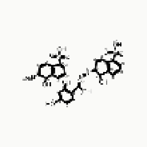 O=C(O)c1ccc(O)cc1O.[N-]=[N+]=C1C=Cc2c(cccc2S(=O)(=O)O)C1O.[N-]=[N+]=C1C=Cc2c(cccc2S(=O)(=O)O)C1O